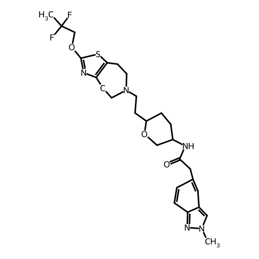 Cn1cc2cc(CC(=O)NC3CCC(CCN4CCc5nc(OCC(C)(F)F)sc5CC4)OC3)ccc2n1